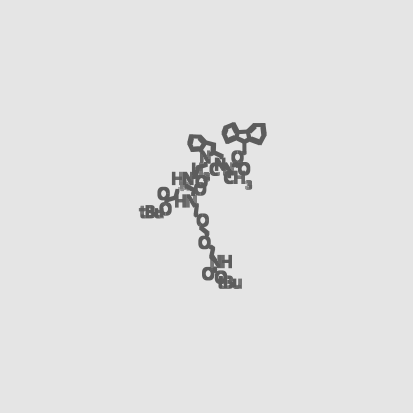 CN(Cc1cc2ccccc2n1CCC(=O)N[C@@H](CCC(=O)OC(C)(C)C)C(=O)NCCOCCOCCNC(=O)OC(C)(C)C)N(C)C(=O)OCC1c2ccccc2-c2ccccc21